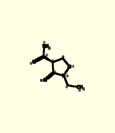 CCN1OC[C@H](C(N)=O)C1=O